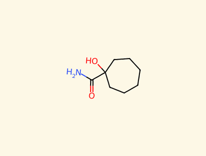 NC(=O)C1(O)CCCCCC1